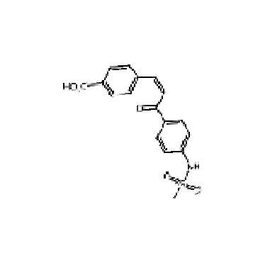 CS(=O)(=O)Nc1ccc(C(=O)/C=C\c2ccc(C(=O)O)cc2)cc1